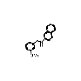 COc1cccc(CNc2ccc3ccccc3c2)c1